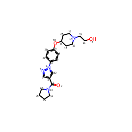 O=C(c1cnn(-c2ccc(OC3CCN(CCO)CC3)cc2)c1)N1CCCC1